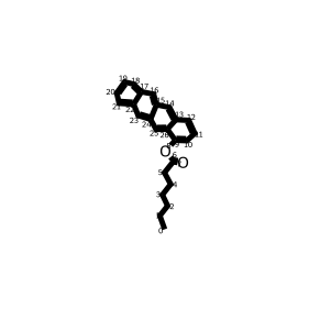 CCCCCCC(=O)Oc1cccc2cc3cc4ccccc4cc3cc12